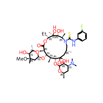 CC[C@H]1OC(=O)[C@H](C)[C@@H](O[C@H]2C[C@@](C)(OC)[C@@H](O)[C@H](C)O2)[C@H](C)[C@@H](OC2O[C@H](C)C[C@H](N(C)C)[C@H]2O)C(C)(O)C[C@@H](C)CN(C(=S)Nc2cccc(F)c2)[C@H](C)[C@@H](O)[C@]1(C)O